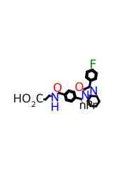 CCC[C@H](c1ccc(C(=O)NCCC(=O)O)cc1)N1C(=O)C(c2ccc(F)cc2)=NC12CCCCC2